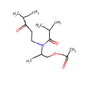 CC(=O)OCC(C)N(CCC(=O)C(C)C)C(=O)C(C)C